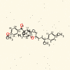 C=C/C(=C\C=C(/C)c1ccc(C)cc1)OC(/C=C\C(=C)C(=O)c1ccc(OC)cc1)=C/C